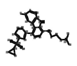 Cc1cnc2[nH]c3c(OCCCN(C)C)ccc(-c4cccc(S(=O)(=O)C5CC5)c4)c3c2c1